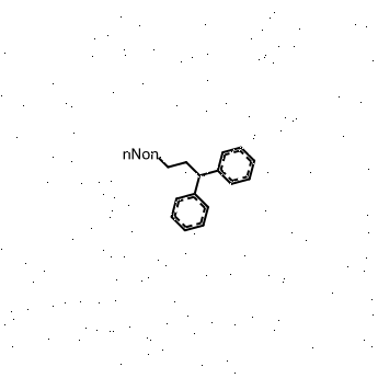 CCCCCCCCCCC[C](c1ccccc1)c1ccccc1